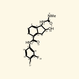 CNC(=O)NC1c2cccc(C(=O)Nc3ccc(F)c(F)c3)c2CC1O